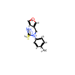 CC(=O)c1ccc(N(Cc2ccoc2)C(N)=S)cc1